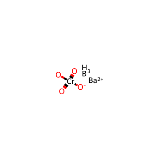 B.[Ba+2].[O]=[Cr](=[O])([O-])[O-]